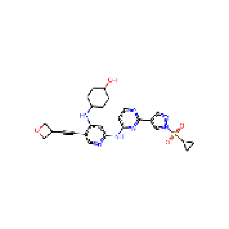 O=S(=O)(C1CC1)n1cc(-c2nccc(Nc3cc(NC4CCC(O)CC4)c(C#CC4COC4)cn3)n2)cn1